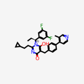 CC[C@@H](c1cc(F)cc(F)c1)n1c(CCC2CC2)nc(=O)c(Cc2ccc(-c3ccncc3C)cc2)c1O